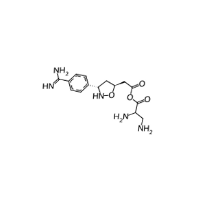 N=C(N)c1ccc([C@@H]2C[C@@H](CC(=O)OC(=O)C(N)CN)ON2)cc1